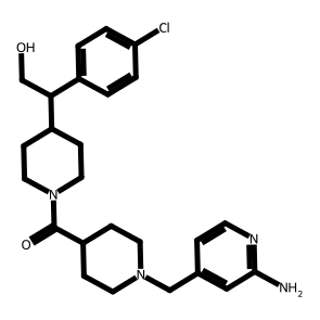 Nc1cc(CN2CCC(C(=O)N3CCC(C(CO)c4ccc(Cl)cc4)CC3)CC2)ccn1